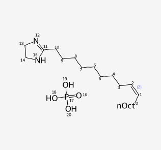 CCCCCCCC/C=C\CCCCCCCCC1=NCCN1.O=P(O)(O)O